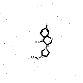 CO[C@@H]1CCN([C@H]2COc3cc(F)ccc3[C@@H]2N)C1